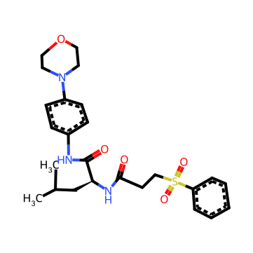 CC(C)C[C@H](NC(=O)CCS(=O)(=O)c1ccccc1)C(=O)Nc1ccc(N2CCOCC2)cc1